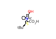 CC(=O)N(c1cc(C#CC(C)(C)C)sc1C(=O)O)C1(C2CC(CO)C2)CCCCC1